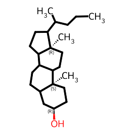 CCCC(C)C1CCC2C3CCC4C[C@H](O)CC[C@]4(C)C3CC[C@]12C